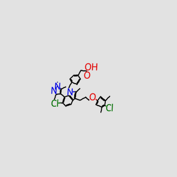 Cc1cc(OCCCc2c(C)n(Cc3ccc(CC(=O)O)cc3)c3c(-c4c(C)nn(C)c4C)c(Cl)ccc23)cc(C)c1Cl